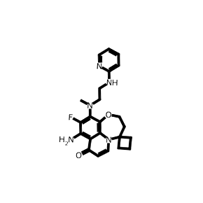 CN(CCNc1ccccn1)c1c(F)c(N)c2c(=O)ccn3c2c1OCCC31CCC1